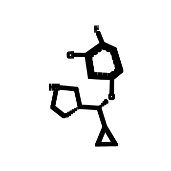 Fc1ccc(O[C@H](C2CC2)[C@@H]2CCNC2)cc1Cl